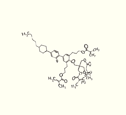 C=C(C)C(=O)OCCCc1cc(-c2ccc(C3CCC(CCCCC)CC3)cc2F)cc(CCCOC(=O)C(=C)C)c1OCC(COC)(COC(=O)CC(=O)OC)COC(=O)C(=C)C